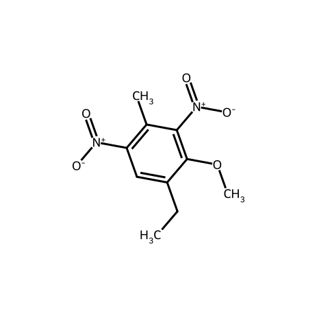 CCc1cc([N+](=O)[O-])c(C)c([N+](=O)[O-])c1OC